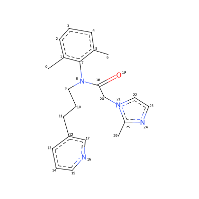 Cc1cccc(C)c1N(CCCc1cccnc1)C(=O)Cn1ccnc1C